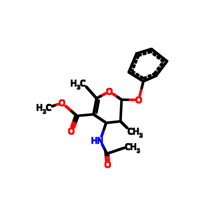 COC(=O)C1=C(C)OC(Oc2ccccc2)C(C)C1NC(C)=O